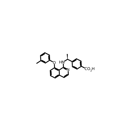 Cc1cccc(Oc2cccc3ccnc(N[C@@H](C)c4ccc(C(=O)O)cc4)c23)c1